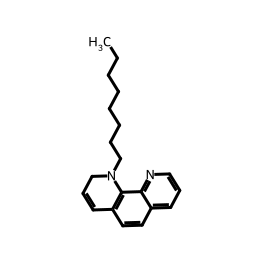 CCCCCCCCN1CC=Cc2ccc3cccnc3c21